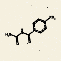 NC(=O)NC(=O)c1ccc([N+](=O)[O-])cc1